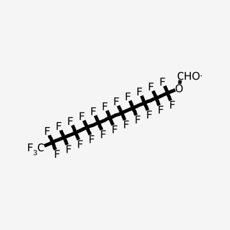 O=[C]OC(F)(F)C(F)(F)C(F)(F)C(F)(F)C(F)(F)C(F)(F)C(F)(F)C(F)(F)C(F)(F)C(F)(F)C(F)(F)C(F)(F)F